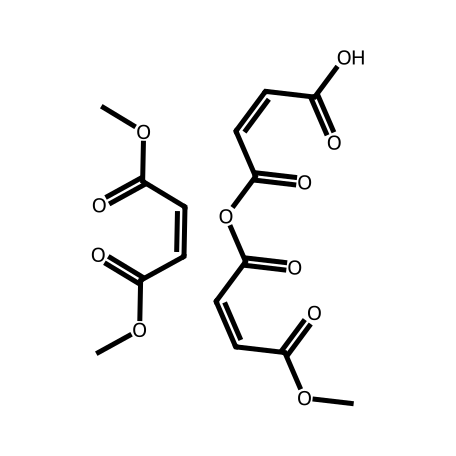 COC(=O)/C=C\C(=O)OC.COC(=O)/C=C\C(=O)OC(=O)/C=C\C(=O)O